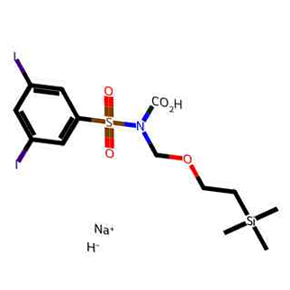 C[Si](C)(C)CCOCN(C(=O)O)S(=O)(=O)c1cc(I)cc(I)c1.[H-].[Na+]